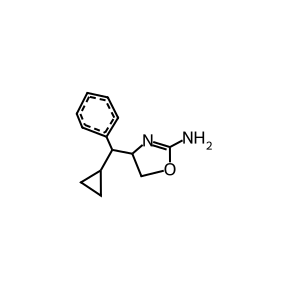 NC1=NC(C(c2ccccc2)C2CC2)CO1